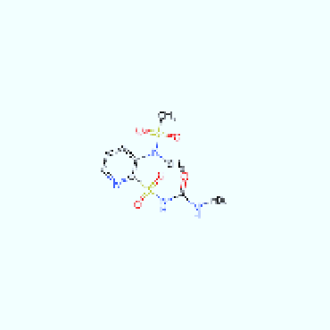 CCCCNC(=O)NS(=O)(=O)c1ncccc1N(C)S(C)(=O)=O